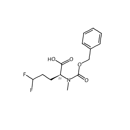 CN(C(=O)OCc1ccccc1)[C@@H](CCC(F)F)C(=O)O